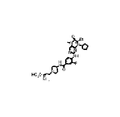 CC[C@@H]1C(=O)N(C)c2cnc(Nc3ccc(C(=O)NC4CCN(CC[C@H](N)C(=O)O)CC4)cc3F)nc2N1C1CCCC1